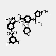 CN1CCC(N(C)c2ccc(C(=O)Nc3n[nH]c4ccc(S(=O)(=O)c5cc(F)cc(F)c5)cc34)c(NC3CCOCC3)c2)C1